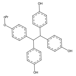 CCCOc1ccc(C(c2ccc(O)cc2)C(c2ccc(O)cc2)c2ccc(O)cc2)cc1